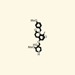 COc1ccc(CN2C(=O)CCc3c(OCC4(O)CCNCC4OC)ccc(F)c32)cc1.Cl